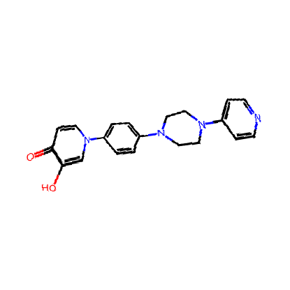 O=c1ccn(-c2ccc(N3CCN(c4ccncc4)CC3)cc2)cc1O